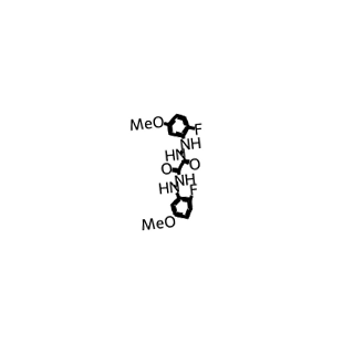 COc1ccc(F)c(NNC(=O)C(=O)NNc2cc(OC)ccc2F)c1